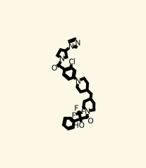 O=C(c1ccc(N2CCC(CC3CCN(C(=O)C(O)(c4ccccc4)C(F)(F)F)CC3)CC2)cc1Cl)N1CCC(n2ccnc2)C1